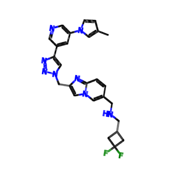 Cc1ccn(-c2cncc(-c3cn(Cc4cn5cc(CNCC6CC(F)(F)C6)ccc5n4)nn3)c2)c1